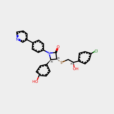 O=C1[C@H](SC[C@H](O)c2ccc(Cl)cc2)[C@@H](c2ccc(O)cc2)N1c1ccc(-c2cccnc2)cc1